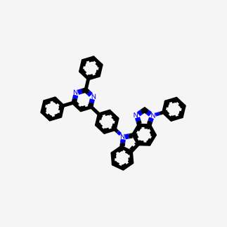 c1ccc(-c2cc(-c3ccc(-n4c5ccccc5c5ccc6c(ncn6-c6ccccc6)c54)cc3)nc(-c3ccccc3)n2)cc1